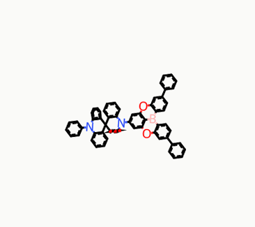 c1ccc(-c2ccc3c(c2)Oc2cc(N4c5ccccc5C5(c6ccccc6N(c6ccccc6)c6ccccc65)c5ccccc54)cc4c2B3c2ccc(-c3ccccc3)cc2O4)cc1